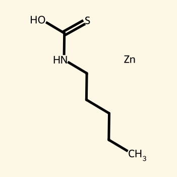 CCCCCNC(O)=S.[Zn]